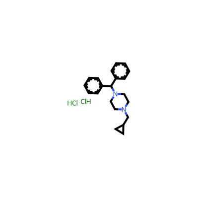 Cl.Cl.c1ccc(C(c2ccccc2)N2CCN(CC3CC3)CC2)cc1